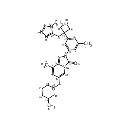 Cc1cc(-n2cc3c(C(F)(F)F)cc(CN4CCC[C@H](C)C4)cn3c2=O)cc(C2(Cc3nncn3C)COC2)c1